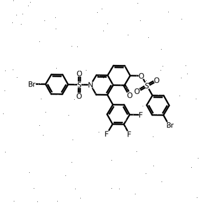 O=C1C2=C(c3cc(F)c(F)c(F)c3)CN(S(=O)(=O)c3ccc(Br)cc3)C=C2C=CC1OS(=O)(=O)c1ccc(Br)cc1